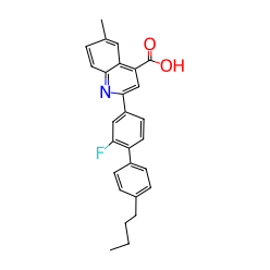 CCCCc1ccc(-c2ccc(-c3cc(C(=O)O)c4cc(C)ccc4n3)cc2F)cc1